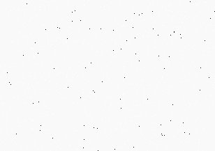 Cc1c(Cl)cccc1-c1cc(F)[c]c(Cl)c1